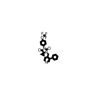 O=C1N(c2ccc(OC(F)(F)F)cc2)C(=O)C2(CC2)N1Cc1ccncc1-c1ccccc1